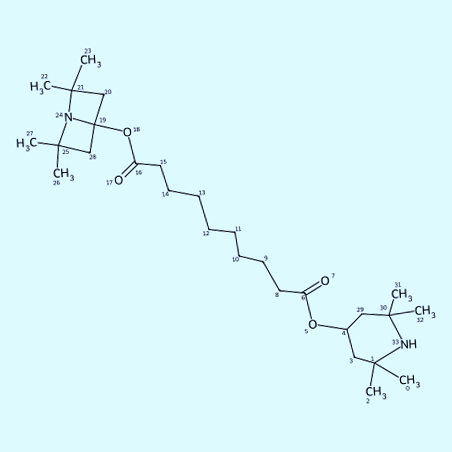 CC1(C)CC(OC(=O)CCCCCCCCC(=O)OC23CC(C)(C)N2C(C)(C)C3)CC(C)(C)N1